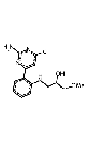 COCC(O)CNc1ccccc1-c1cc(Cl)nc(N)n1